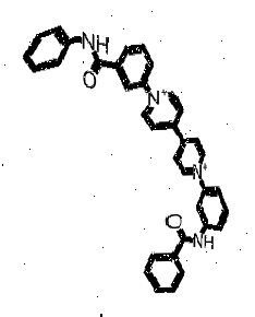 O=C(Nc1cccc(-[n+]2ccc(-c3cc[n+](-c4cccc(C(=O)Nc5ccccc5)c4)cc3)cc2)c1)c1ccccc1